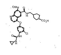 COc1cc2nccc(Oc3ccc(NC(=O)NC4CC4)c(Cl)c3)c2cc1C(=O)NCC1CCN(C(=O)O)CC1